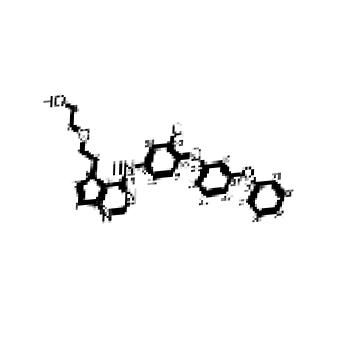 OCCOCCC1C=Cc2ncnc(Nc3ccc(Oc4cccc(Oc5ccccc5)c4)c(Cl)c3)c21